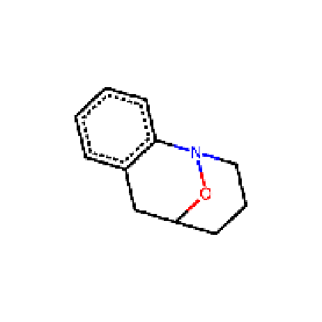 c1ccc2c(c1)CC1CCCN2O1